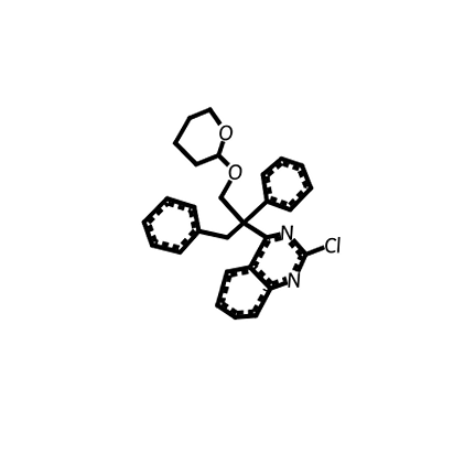 Clc1nc(C(COC2CCCCO2)(Cc2ccccc2)c2ccccc2)c2ccccc2n1